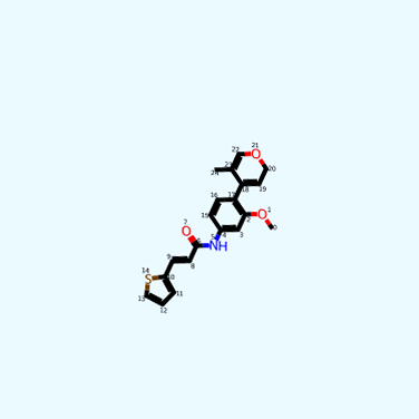 COc1cc(NC(=O)C=Cc2cccs2)ccc1C1=CCOC=C1C